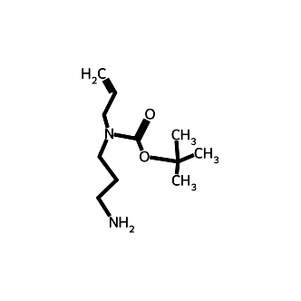 C=CCN(CCCN)C(=O)OC(C)(C)C